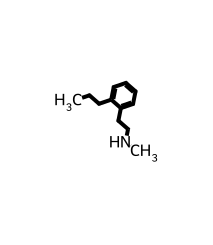 CCCc1ccccc1CCNC